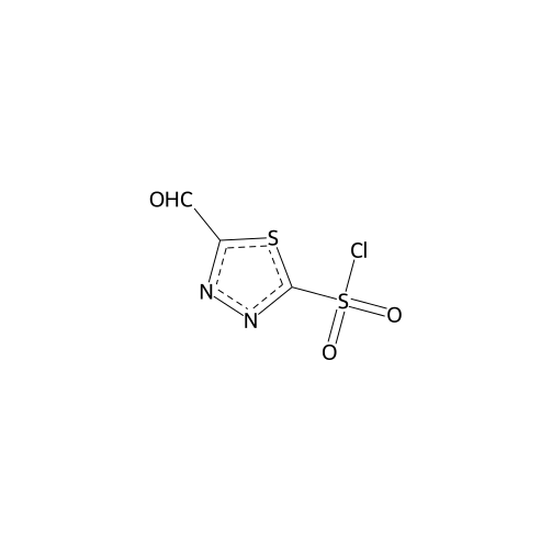 O=Cc1nnc(S(=O)(=O)Cl)s1